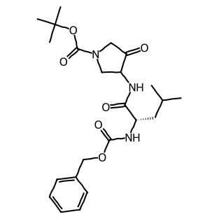 CC(C)C[C@H](NC(=O)OCc1ccccc1)C(=O)NC1CN(C(=O)OC(C)(C)C)CC1=O